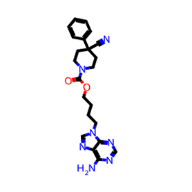 N#CC1(c2ccccc2)CCN(C(=O)OCCCCn2cnc3c(N)ncnc32)CC1